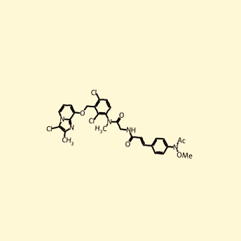 CON(C(C)=O)c1ccc(C=CC(=O)NCC(=O)N(C)c2ccc(Cl)c(COc3cccn4c(Cl)c(C)nc34)c2Cl)cc1